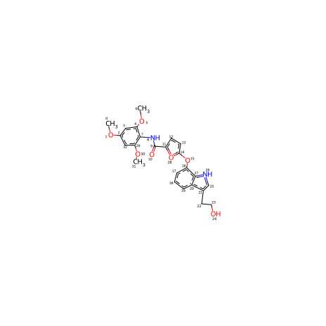 COc1cc(OC)c(NC(=O)c2ccc(Oc3cccc4c(CCO)c[nH]c34)o2)c(OC)c1